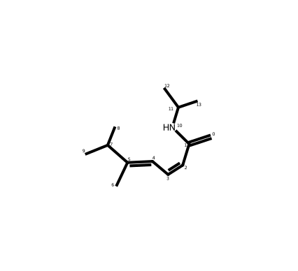 C=C(/C=C\C=C(/C)C(C)C)NC(C)C